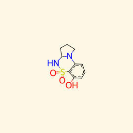 O=S1(=O)NC2CCCN2c2cccc(O)c21